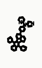 c1ccc(-c2c3c(c(-c4ccccc4)c4ccccc24)-c2ccc(-c4ccc(N(c5ccncc5)c5ccccn5)cc4)c4cccc-3c24)cc1